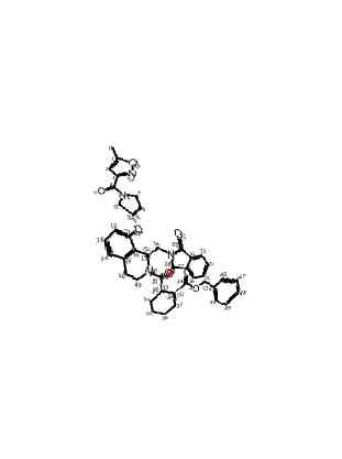 Cc1cc(C(=O)N2CC[C@H](Oc3cccc4c3[C@@H](CN3C(=O)c5ccccc5C3=O)N(C(=O)[C@@H]3CCCC[C@@H]3C(=O)OCc3ccccc3)CC4)C2)no1